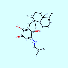 CC1=CCCC2C1(C)CCC(C)C2(C)CC1=C(O)C(=O)C=C(NCC(C)C)C1=O